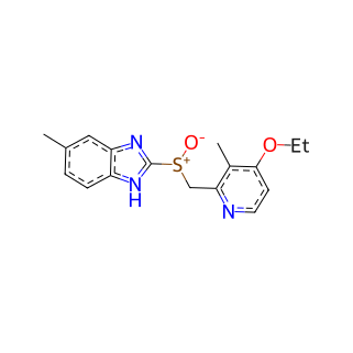 CCOc1ccnc(C[S+]([O-])c2nc3cc(C)ccc3[nH]2)c1C